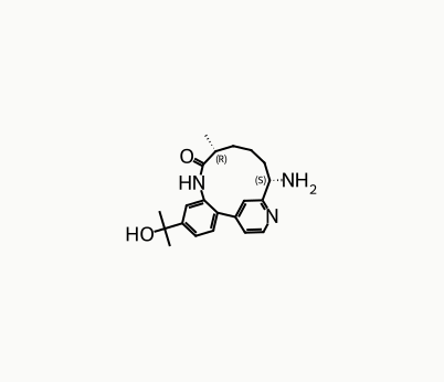 C[C@@H]1CCC[C@H](N)c2cc(ccn2)-c2ccc(C(C)(C)O)cc2NC1=O